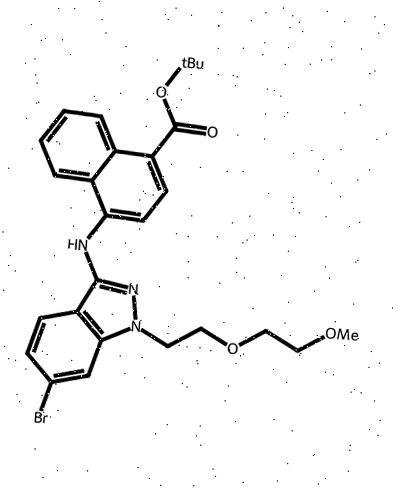 COCCOCCn1nc(Nc2ccc(C(=O)OC(C)(C)C)c3ccccc23)c2ccc(Br)cc21